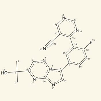 CC(C)(O)c1cnn2c(-c3ccc(F)c(-c4ncncc4C#N)c3)cnc2n1